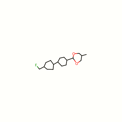 CC1COC(C2CCC(C3CCC(CF)CC3)CC2)OC1